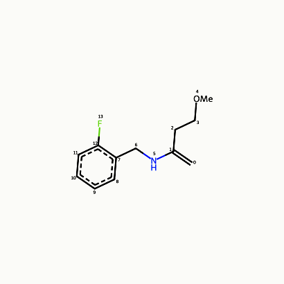 C=C(CCOC)NCc1ccccc1F